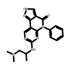 CC(CN(C)C)Nc1ncc2c3n[nH]cc3c(=O)n(-c3ccccc3)c2n1